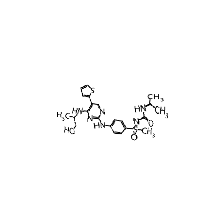 CC(C)NC(=O)N=S(C)(=O)c1ccc(Nc2ncc(-c3cccs3)c(N[C@H](C)CO)n2)cc1